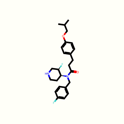 CC(C)COc1ccc(CCC(=O)N(Cc2ccc(F)cc2)[C@H]2CCNC[C@H]2F)cc1